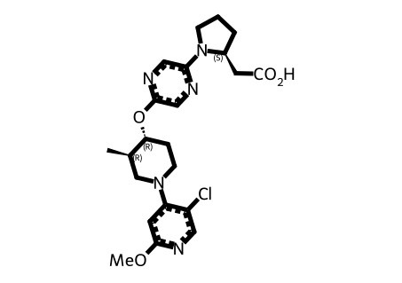 COc1cc(N2CC[C@@H](Oc3cnc(N4CCC[C@H]4CC(=O)O)cn3)[C@H](C)C2)c(Cl)cn1